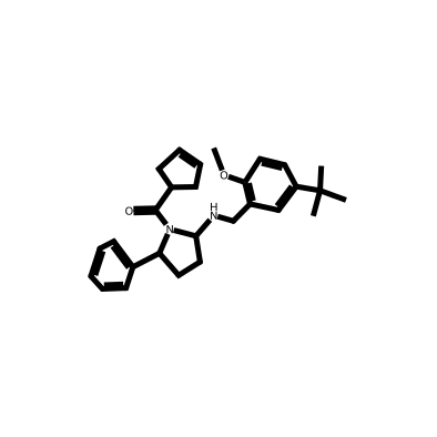 COc1ccc(C(C)(C)C)cc1CNC1CCC(c2ccccc2)N1C(=O)C1CC=CC1